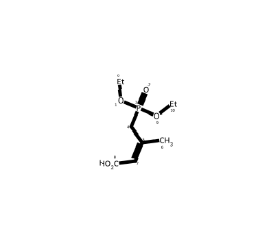 CCOP(=O)(C/C(C)=C\C(=O)O)OCC